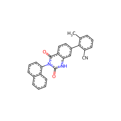 Cc1cccc(C#N)c1-c1ccc2c(=O)n(-c3cccc4ccccc34)c(=O)[nH]c2c1